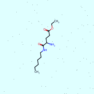 CCCCCCNC(=O)C(N)CCC(=O)OCC